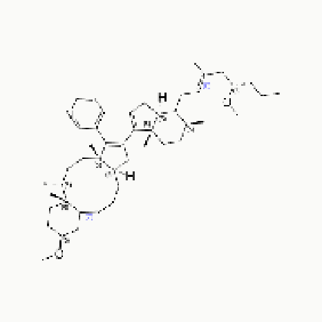 CCC[C@@H](C/C(C)=C/CC1[C@@H](C)CC[C@]2(C)C(C3=C(c4cccnc4)[C@@]4(C)CC[C@@H](C)[C@@]5(C)CC[C@H](OC)C/C5=C/CC[C@@H]4C3)=CC[C@@H]12)OC